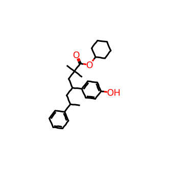 CC(CC(CC(C)(C)C(=O)OC1CCCCC1)c1ccc(O)cc1)c1ccccc1